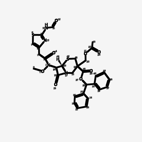 CON(C(=O)Cc1csc(NC=O)n1)C1C(=O)N2CC(COC(C)=O)(C(=O)OC(c3ccccc3)c3ccccc3)CS[C@H]12